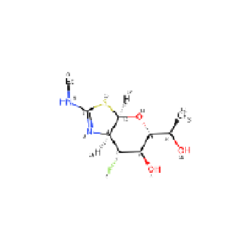 CCNC1=N[C@@H]2[C@@H](F)[C@H](O)[C@@H]([C@H](O)C(F)(F)F)O[C@@H]2S1